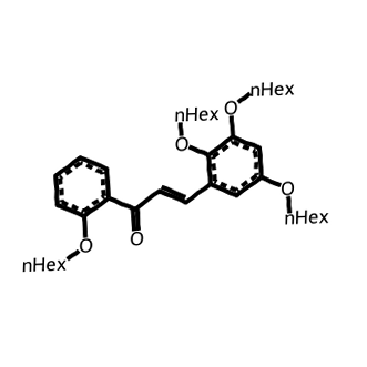 CCCCCCOc1cc(C=CC(=O)c2ccccc2OCCCCCC)c(OCCCCCC)c(OCCCCCC)c1